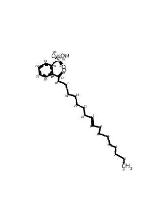 CCCCCCCCC=CCCCCCCCC(=O)c1ccccc1S(=O)(=O)O